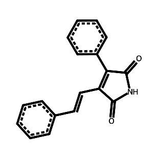 O=C1NC(=O)C(c2ccccc2)=C1C=Cc1ccccc1